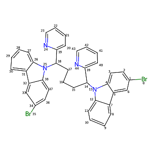 Brc1ccc2c(c1)c1ccccc1n2C(CCCC(c1ccccn1)n1c2ccccc2c2cc(Br)ccc21)c1ccccn1